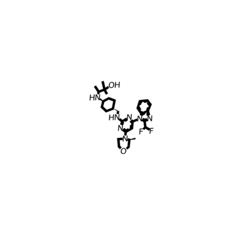 CC(N[C@H]1CC[C@H](CNc2nc(N3CCOC[C@@H]3C)cc(-n3c(C(F)F)nc4ccccc43)n2)CC1)C(C)(C)O